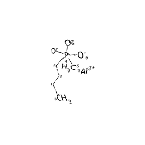 CCCCP(C)([O-])([O-])[O-].[Al+3]